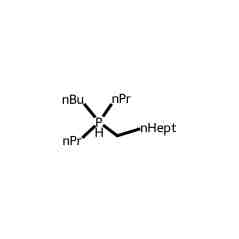 CCCCCCCC[PH](CCC)(CCC)CCCC